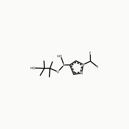 CC(C)(O)C(C)(C)OB(O)c1cnn(C(F)F)c1